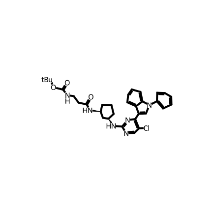 CC(C)(C)OC(=O)NCCC(=O)N[C@H]1CCC[C@@H](Nc2ncc(Cl)c(-c3cn(-c4ccccc4)c4ccccc34)n2)C1